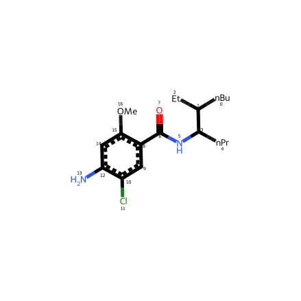 CCCCC(CC)C(CCC)NC(=O)c1cc(Cl)c(N)cc1OC